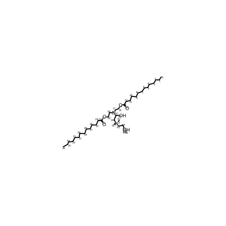 CCCCCCCCCCCCCC(=O)OCCN(CCOC(=O)CCCCCCCCCCCCC)C(O)C[N+](C)(C)CCO.[Br-]